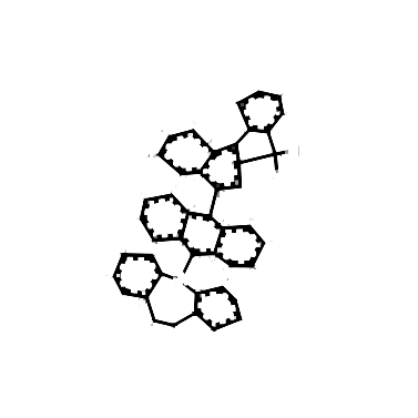 CC1(C)c2ccccc2-c2c1cc(-c1c3ccccc3c(N3c4ccccc4CCc4ccccc43)c3ccccc13)c1ccccc21